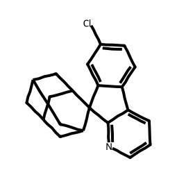 Clc1ccc2c(c1)C1(c3ncccc3-2)C2CC3CC(C2)CC1C3